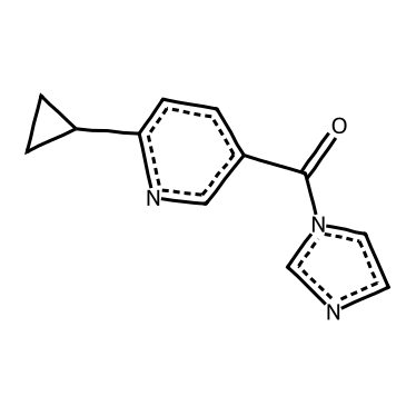 O=C(c1ccc(C2CC2)nc1)n1ccnc1